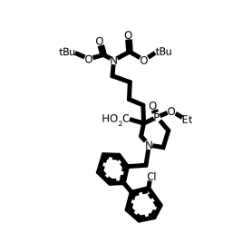 CCOP1(=O)CCN(Cc2ccccc2-c2ccccc2Cl)CC1(CCCCN(C(=O)OC(C)(C)C)C(=O)OC(C)(C)C)C(=O)O